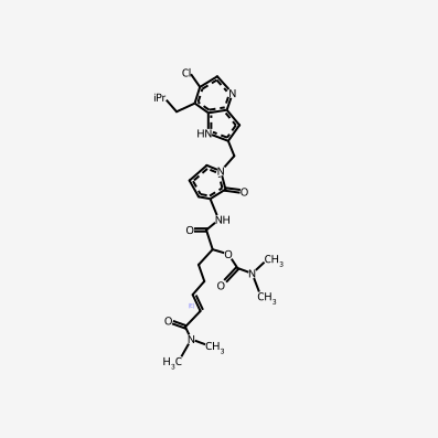 CC(C)Cc1c(Cl)cnc2cc(Cn3cccc(NC(=O)C(CC/C=C/C(=O)N(C)C)OC(=O)N(C)C)c3=O)[nH]c12